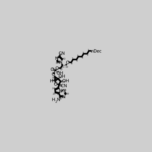 CCCCCCCCCCCCCCCCCCOC[C@H](COP(=O)(O)OC1[C@H]2O[C@@](C#N)(c3ccc4c(N)ncnn34)[C@H](O)[C@@]12O)n1cnc(C#N)c1